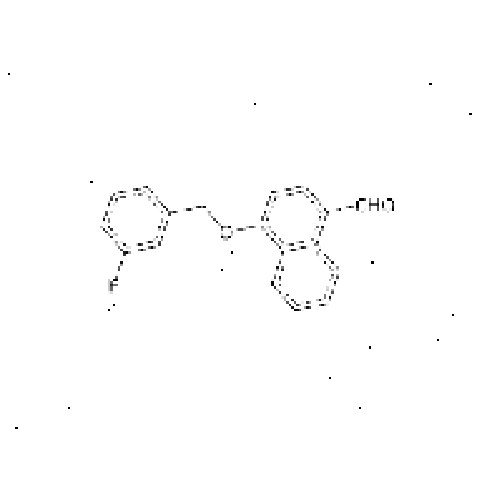 O=Cc1ccc(OCc2cccc(F)c2)c2ccccc12